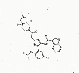 CN1C[C@H]2CCN(C(=O)Cn3cc(NC(=O)c4cnn5cccnc45)c(-c4cc(Cl)ccc4OC(F)F)n3)C[C@@H]2C1